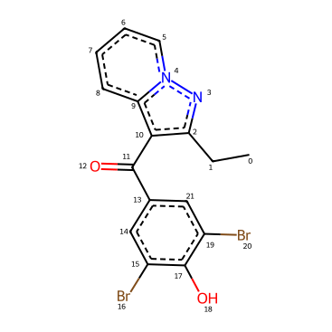 CCc1nn2ccccc2c1C(=O)c1cc(Br)c(O)c(Br)c1